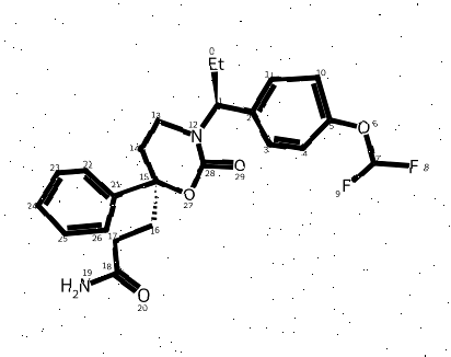 CC[C@@H](c1ccc(OC(F)F)cc1)N1CC[C@](CCC(N)=O)(c2ccccc2)OC1=O